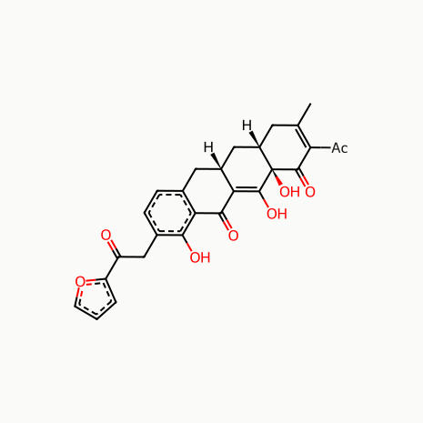 CC(=O)C1=C(C)C[C@H]2C[C@H]3Cc4ccc(CC(=O)c5ccco5)c(O)c4C(=O)C3=C(O)[C@@]2(O)C1=O